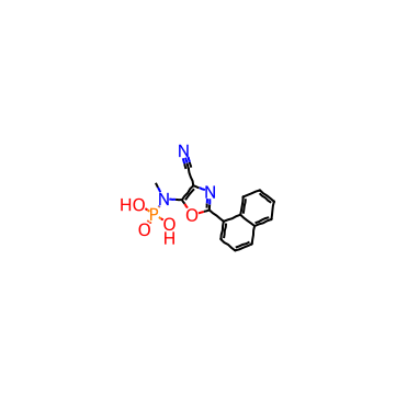 CN(c1oc(-c2cccc3ccccc23)nc1C#N)P(=O)(O)O